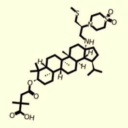 CSC[C@H](CN[C@]12CC[C@@H](C(C)C)[C@@H]1[C@H]1CC[C@@H]3[C@@]4(C)CC[C@H](OC(=O)CC(C)(C)C(=O)O)C(C)(C)[C@@H]4CC[C@@]3(C)[C@]1(C)CC2)N1CCS(=O)(=O)CC1